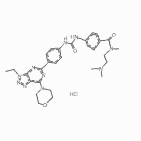 CCn1nnc2c(N3CCOCC3)nc(-c3ccc(NC(=O)Nc4ccc(C(=O)N(C)CCN(C)C)cc4)cc3)nc21.Cl